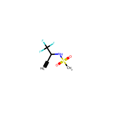 C#CC(NS(C)(=O)=O)C(F)(F)F